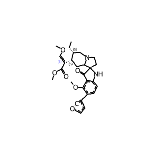 CC[C@@H]1CN2CC[C@]3(Nc4ccc(-c5ccoc5)c(OC)c4C3=O)C2C[C@@H]1/C(=C\OC)C(=O)OC